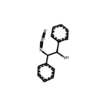 [N-]=[N+]=NC(c1ccccc1)C(O)c1ccccc1